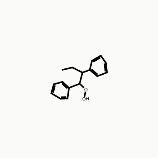 CCC(c1ccccc1)C(OO)c1ccccc1